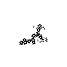 CC(C)(C)c1ccc(-c2nc(-c3ccc(C(C)(C)C)cc3)nc(-c3cccc(-c4cc(-c5ccc(-c6ccc7c8c(cccc68)-c6ccccc6-7)cc5)c5ccccc5c4)c3)n2)cc1